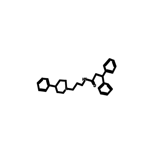 O=C(CC(c1ccccc1)c1ccccc1)NCCCN1CCC(c2c[c]ccc2)CC1